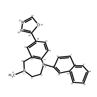 CN1CCN(c2ccc3ccccc3c2)c2ccc(-c3nnco3)cc2C1